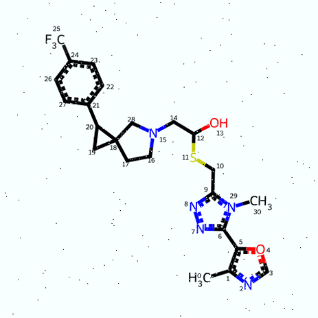 Cc1ncoc1-c1nnc(CSC(O)CN2CCC3(CC3c3ccc(C(F)(F)F)cc3)C2)n1C